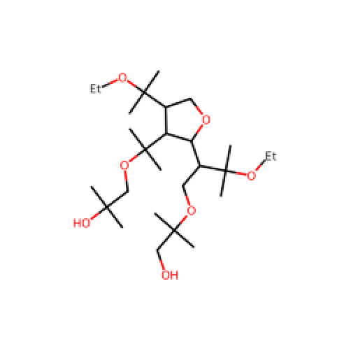 CCOC(C)(C)C(COC(C)(C)CO)C1OCC(C(C)(C)OCC)C1C(C)(C)OCC(C)(C)O